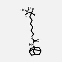 O=C(NC12CC3CC(CC(C3)C1)C2)OCCCCCCC(F)(F)S(=O)(=O)O